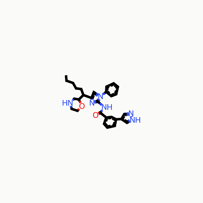 CCCCCC(c1cn(-c2ccccc2)c(NC(=O)c2cccc(-c3cn[nH]c3)c2)n1)C1CNCCO1